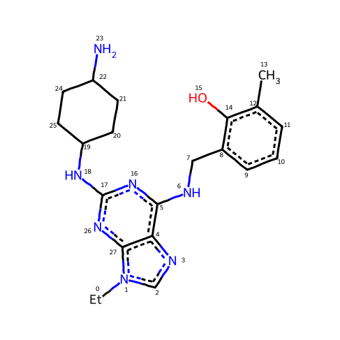 CCn1cnc2c(NCc3cccc(C)c3O)nc(NC3CCC(N)CC3)nc21